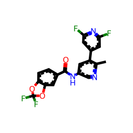 Cc1ncc(NC(=O)c2ccc3c(c2)OC(F)(F)O3)cc1-c1cc(F)nc(F)c1